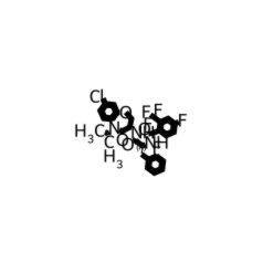 CC(C)N1C(=O)C(NC(=O)[C@@H](Cc2ccccc2F)NC(=O)c2ccc(F)cc2C(F)(F)F)COc2cc(Cl)ccc21